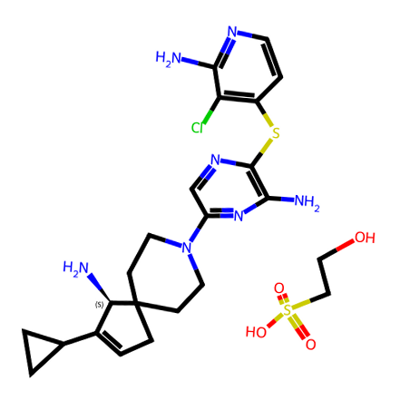 Nc1nc(N2CCC3(CC=C(C4CC4)[C@H]3N)CC2)cnc1Sc1ccnc(N)c1Cl.O=S(=O)(O)CCO